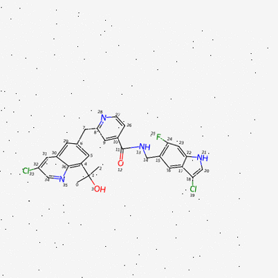 CC(C)(O)c1cc(Cc2cc(C(=O)NCc3cc4c(Cl)c[nH]c4cc3F)ccn2)cc2cc(Cl)cnc12